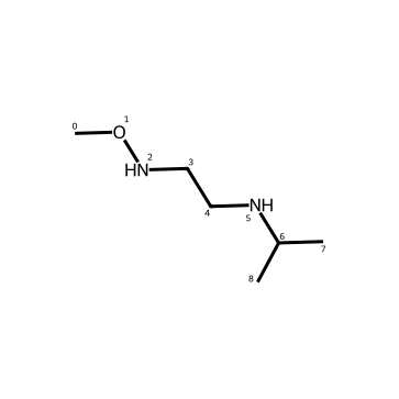 CONCCNC(C)C